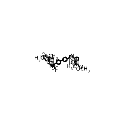 CCCN(Cc1nc(C(F)(F)F)c(-c2ccc(-c3ccc(-c4cnc([C@@H]5CCCN5C(=O)[C@H](C)NC(=O)OC)[nH]4)cc3)cc2)[nH]1)C(=O)[C@H](C)NC=O